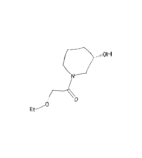 CCOCC(=O)N1CCC[C@H](O)C1